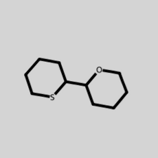 C1CCC(C2CCCCS2)OC1